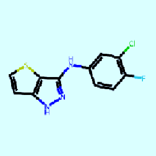 Fc1ccc(Nc2n[nH]c3ccsc23)cc1Cl